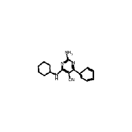 N#Cc1c(NC2CCCCC2)nc(N)nc1-c1ccccc1